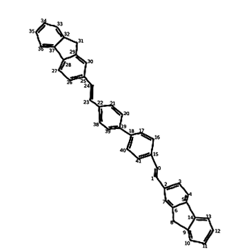 C(=Cc1ccc2c(c1)Cc1ccccc1-2)c1ccc(-c2ccc(C=Cc3ccc4c(c3)Cc3ccccc3-4)cc2)cc1